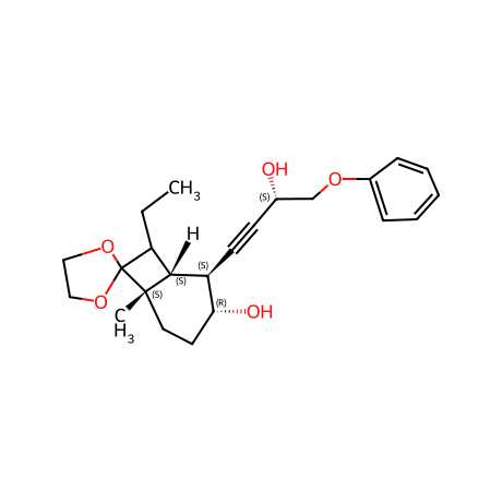 CCC1[C@@H]2[C@@H](C#C[C@H](O)COc3ccccc3)[C@H](O)CC[C@]2(C)C12OCCO2